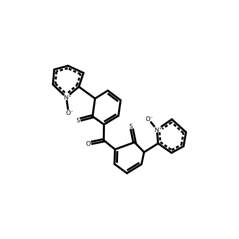 O=C(C1=CC=CC(c2cccc[n+]2[O-])C1=S)C1=CC=CC(c2cccc[n+]2[O-])C1=S